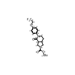 CC(C)(C)OC(=O)N1CC2CCN(c3ccc(OCC(F)(F)F)cc3)C(=O)C2C1